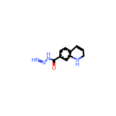 N=NNC(=O)c1ccc2c(c1)NCC=C2